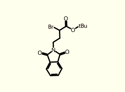 CC(C)(C)OC(=O)C(Br)CCN1C(=O)c2ccccc2C1=O